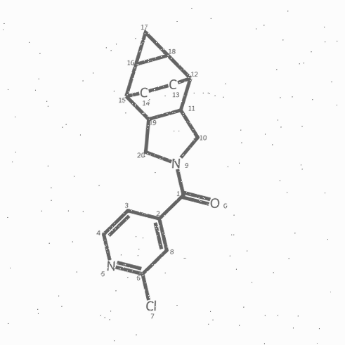 O=C(c1ccnc(Cl)c1)N1CC2C3CCC(C4CC34)C2C1